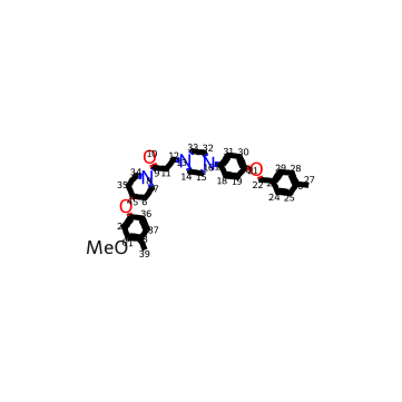 COc1cc(OC2CCN(C(=O)CCN3CCN(c4ccc(OCc5ccc(C)cc5)cc4)CC3)CC2)ccc1C